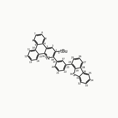 CC(C)(C)c1cc2c3ccccc3c3ccccc3c2nc1-c1cccc(-c2cccc3c2sc2ccccc23)c1